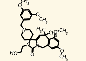 COc1cc(CN2CCC3(CC2)C2=CC(C)(C)c4c(cc(OC)cc4OC)CN2C(=O)N3CCO)cc(OC)c1